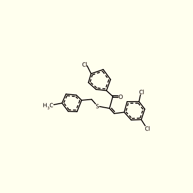 Cc1ccc(CSC(=Cc2cc(Cl)cc(Cl)c2)C(=O)c2ccc(Cl)cc2)cc1